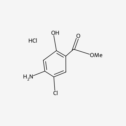 COC(=O)c1cc(Cl)c(N)cc1O.Cl